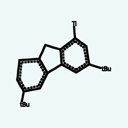 CC(C)(C)c1ccc2c(c1)-c1cc(C(C)(C)C)c[c]([Ti])c1C2